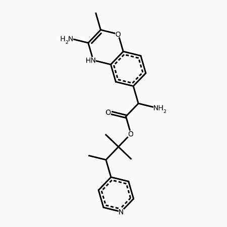 CC1=C(N)Nc2cc(C(N)C(=O)OC(C)(C)C(C)c3ccncc3)ccc2O1